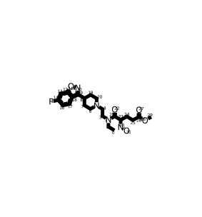 CCN(CCN1CCC(c2noc3cc(F)ccc23)CC1)C(=O)C(CCC(=O)OC)N=O